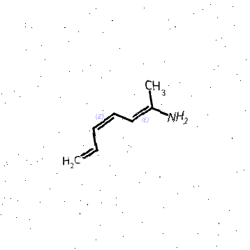 C=C/C=C\C=C(/C)N